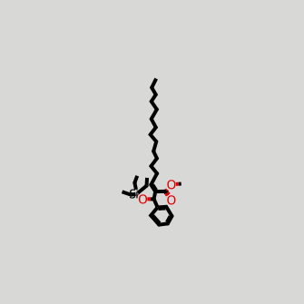 CCCCCCCCCCCCC/C=C(\C(=O)OC)C(O[Si](CC)(CC)CC)c1ccccc1